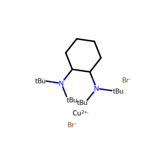 CC(C)(C)N(C1CCCCC1N(C(C)(C)C)C(C)(C)C)C(C)(C)C.[Br-].[Br-].[Cu+2]